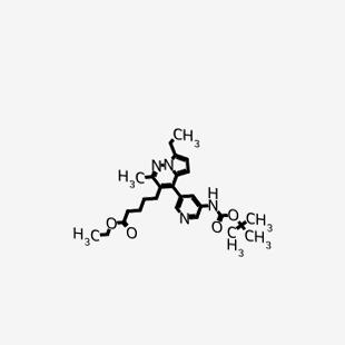 CCOC(=O)CCCCc1c(C)nn2c(CC)ccc2c1-c1cncc(NC(=O)OC(C)(C)C)c1